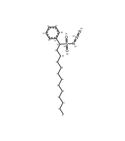 CCCCCCCCCCCCC(c1ccccc1)S(=O)(=O)N=[N+]=[N-]